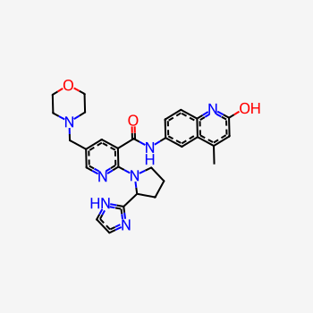 Cc1cc(O)nc2ccc(NC(=O)c3cc(CN4CCOCC4)cnc3N3CCCC3c3ncc[nH]3)cc12